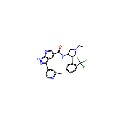 CCN1CC(NC(=O)c2cnc3[nH]nc(-c4ccnc(C)c4)c3c2)C(c2ccccc2C(F)(F)F)C1